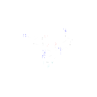 COc1cc(C#N)ccc1Oc1nnc(C(F)(F)F)c(C)c1C(=O)Nc1cccc(C#N)c1